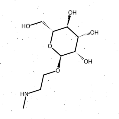 CNCCO[C@H]1O[C@H](CO)[C@@H](O)[C@H](O)[C@@H]1O